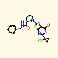 O=C(NCc1ccccc1)C1CCCN1c1nc2c(=O)[nH]c(C3(Cl)CC3)nc2s1